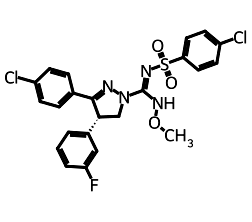 CON/C(=N\S(=O)(=O)c1ccc(Cl)cc1)N1C[C@H](c2cccc(F)c2)C(c2ccc(Cl)cc2)=N1